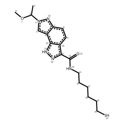 COC(C)n1cc2c(ccc3c(C(=O)NCCCCCCS)n[nH]c32)n1